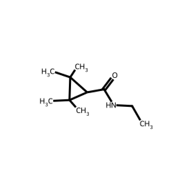 CCNC(=O)C1C(C)(C)C1(C)C